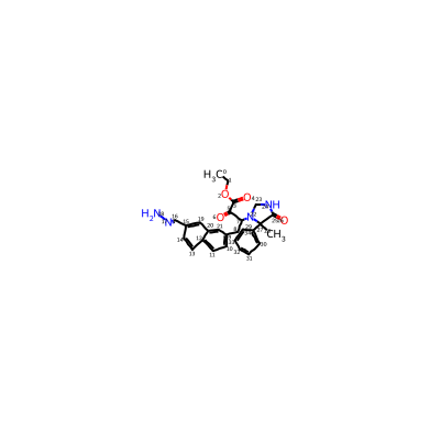 CCOC(=O)C(=O)C(Cc1ccc2ccc(C=NN)cc2c1)N1CNC(=O)C1(C)c1ccccc1